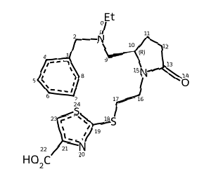 CCN(Cc1ccccc1)C[C@H]1CCC(=O)N1CCSc1nc(C(=O)O)cs1